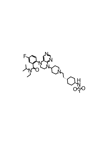 CCN(C(=O)c1cc(F)ccc1N1CCN(C2CCN(CC[C@H]3CC[C@H](NS(C)(=O)=O)CC3)CC2)c2ncncc21)C(C)C